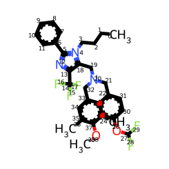 CCCCn1c(-c2ccccc2)nc(C(F)(F)F)c1CN(Cc1ccc(OC(F)F)cc1)Cc1cc(C)c(OC)c(C)c1